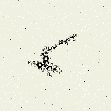 CCN(OCCOCCOCCNC(=O)COCC(=O)O)C(=O)c1ccc(CN(C(C(=O)OC(C)(C)C)C(C)C)S(=O)(=O)c2ccc(OC)cc2)cc1